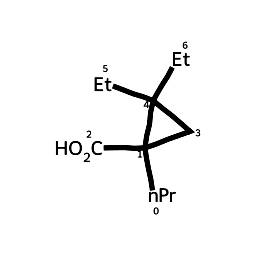 CCCC1(C(=O)O)CC1(CC)CC